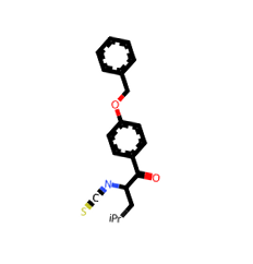 CC(C)CC(N=C=S)C(=O)c1ccc(OCc2ccccc2)cc1